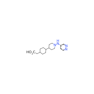 O=C(O)CC1CCC(C2CCN(Nc3ccnnc3)CC2)CC1